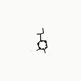 [2H]CC([2H])c1ccc(OC)c(OC)c1